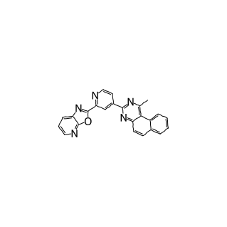 Cc1nc(-c2ccnc(-c3nc4cccnc4o3)c2)nc2ccc3ccccc3c12